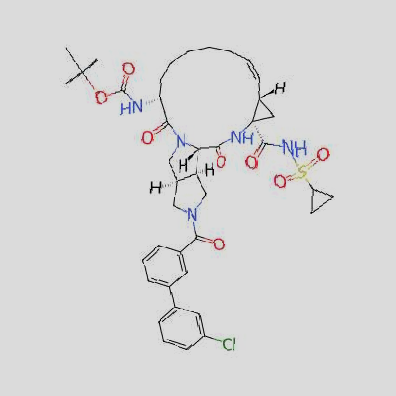 CC(C)(C)OC(=O)N[C@@H]1CCCCC/C=C\[C@@H]2C[C@@]2(C(=O)NS(=O)(=O)C2CC2)NC(=O)[C@@H]2[C@H]3CN(C(=O)c4cccc(-c5cccc(Cl)c5)c4)C[C@H]3CN2C1=O